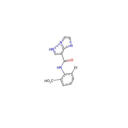 CCc1cccc(C(=O)O)c1NC(=O)c1c[nH]n2ccnc12